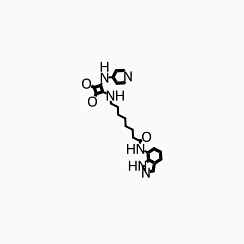 O=C(CCCCCCCNc1c(Nc2ccncc2)c(=O)c1=O)Nc1cccc2cn[nH]c12